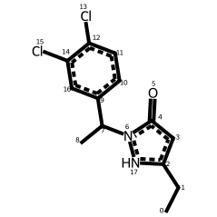 CCc1cc(=O)n(C(C)c2ccc(Cl)c(Cl)c2)[nH]1